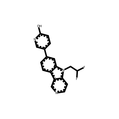 Oc1ccc(-c2ccc3c4cnccc4n(CC(F)F)c3c2)cn1